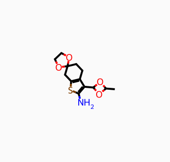 CC1OC(c2c(N)sc3c2CCC2(C3)OCCO2)O1